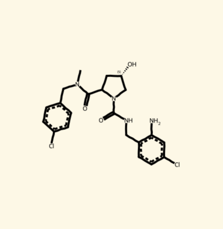 CN(Cc1ccc(Cl)cc1)C(=O)C1C[C@H](O)CN1C(=O)NCc1ccc(Cl)cc1N